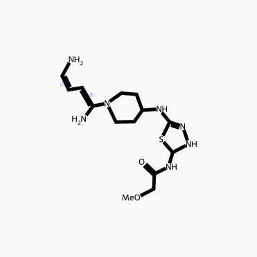 COCC(=O)NC1NN=C(NC2CCN(/C(N)=C/C=C\N)CC2)S1